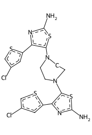 Nc1nc(-c2cc(Cl)cs2)c(N2CCN(c3sc(N)nc3-c3cc(Cl)cs3)CC2)s1